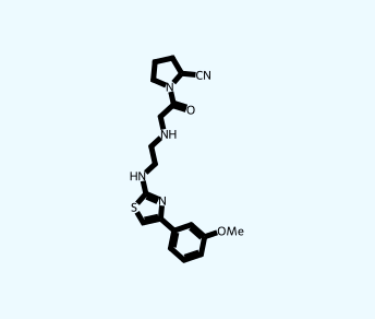 COc1cccc(-c2csc(NCCNCC(=O)N3CCCC3C#N)n2)c1